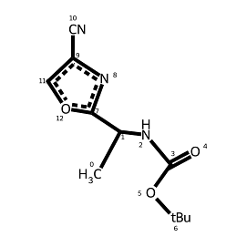 CC(NC(=O)OC(C)(C)C)c1nc(C#N)co1